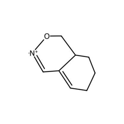 C1=[N+]OCC2CCCC=C12